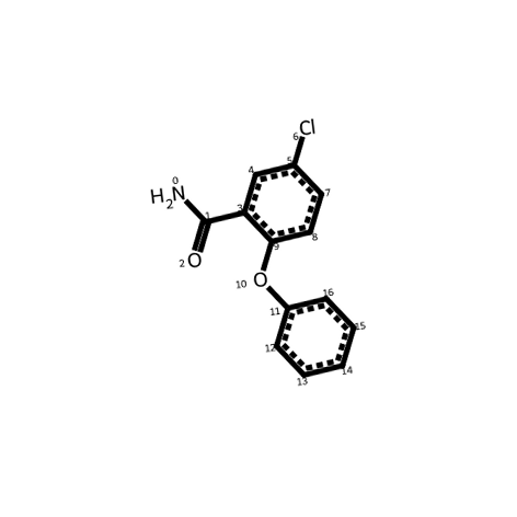 NC(=O)c1cc(Cl)ccc1Oc1ccccc1